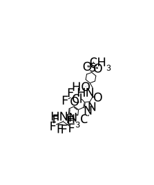 CCn1nc(C(=O)NC[C@]2(O)CC[C@@H](S(C)(=O)=O)CC2)c(Cl)c1-c1cnc(NC(C(F)(F)F)C(F)(F)F)cc1OC(F)F